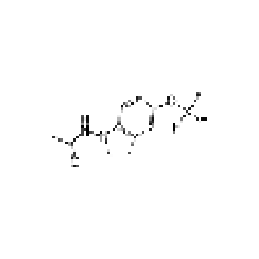 CC(=O)Nn1ccc2cc(OC(F)(F)F)ccc21